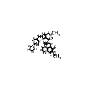 COCc1nn(Cc2cnc(N3CCCC3)nc2)cc1C(=O)NCc1c(N(N)/C=C\N)ccc(OC)c1F